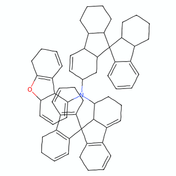 C1=CC2OC3=C(C=CCC3)C2C(N(C2C=CC3C4CCCCC4C4(c5ccccc5C5CCCCC54)C3C2)C2CCC=C3C4=C(CCC=C4)C4(C5=C(CCC=C5)C5=C4CCC=C5)C32)=C1